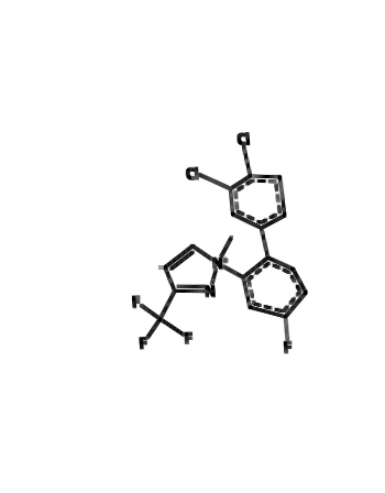 C[N+]1(c2cc(F)ccc2-c2ccc(Cl)c(Cl)c2)C=[C]C(C(F)(F)F)=N1